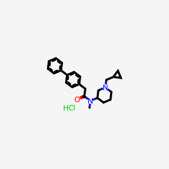 CN(C(=O)Cc1ccc(-c2ccccc2)cc1)C1CCCN(CC2CC2)C1.Cl